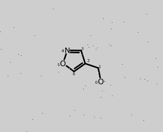 [O]Cc1cnoc1